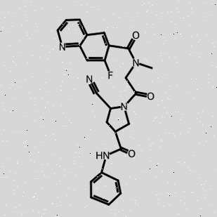 CN(CC(=O)N1CC(C(=O)Nc2ccccc2)CC1C#N)C(=O)c1cc2cccnc2cc1F